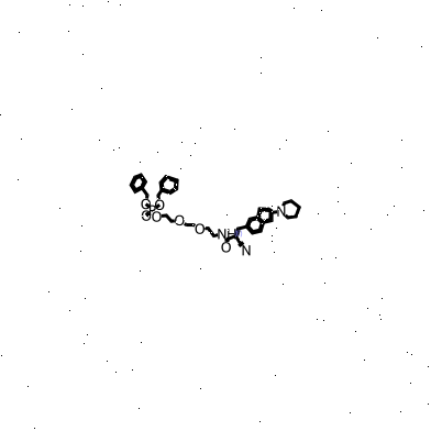 N#C/C(=C\c1ccc2cc(N3CCCCC3)ccc2c1)C(=O)NCCOCCOCCOP(=O)(OCc1ccccc1)OCc1ccccc1